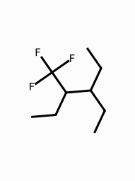 CCC(CC)C(CC)C(F)(F)F